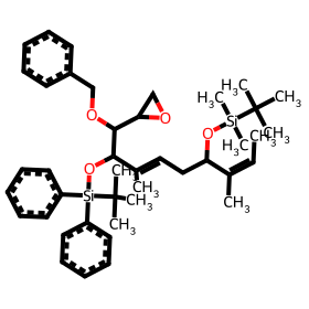 C/C=C(/C)C(C/C=C(\C)C(O[Si](c1ccccc1)(c1ccccc1)C(C)(C)C)C(OCc1ccccc1)C1CO1)O[Si](C)(C)C(C)(C)C